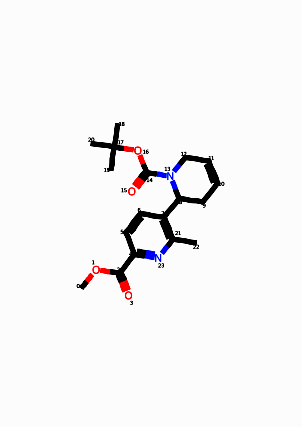 COC(=O)c1ccc(C2CC=CCN2C(=O)OC(C)(C)C)c(C)n1